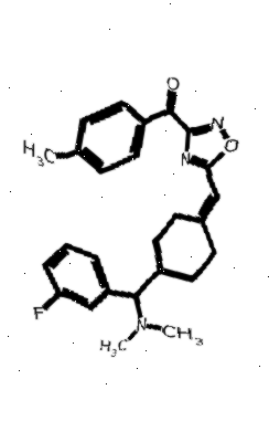 Cc1ccc(C(=O)c2noc(C=C3CCC(C(c4cccc(F)c4)N(C)C)CC3)n2)cc1